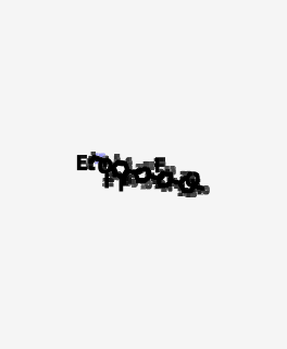 CC/C=C\Oc1ccc(-c2ccc(-c3ccc(C4CCC(C)OC4)cc3F)cc2)c(F)c1F